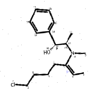 C/C=C(/CCCCCl)N(C)[C@H](C)[C@H](O)c1ccccc1